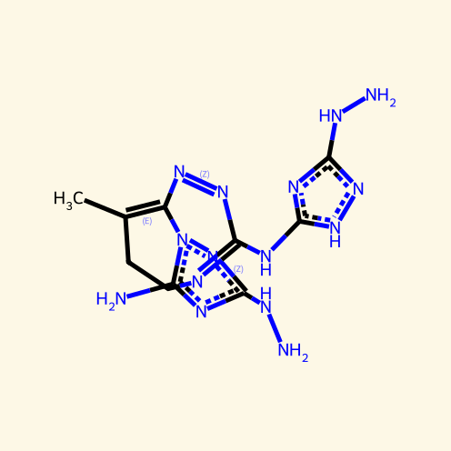 C\C1=C(n2nc(NN)nc2N)/N=N\C(Nc2nc(NN)n[nH]2)=N/CC1